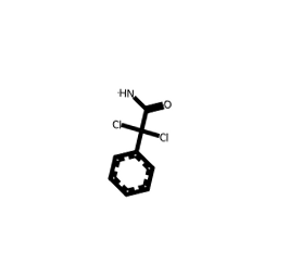 [NH]C(=O)C(Cl)(Cl)c1ccccc1